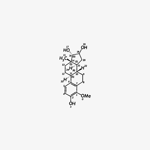 COc1c(O)ccc2c1CC[C@@H]1[C@@H]2CC[C@]2(C)[C@H](O)C(O)C[C@@H]12